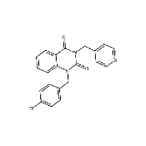 O=c1c2ccccc2n(Cc2ccc(Cl)cc2)c(=O)n1Cc1ccncc1